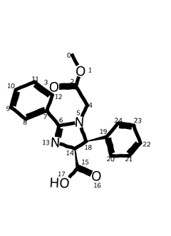 COC(=O)CN1C(c2ccccc2)=N[C@H](C(=O)O)[C@@H]1c1ccccc1